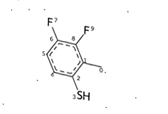 Cc1c(S)ccc(F)c1F